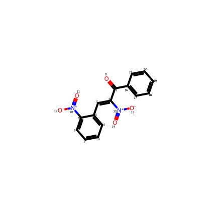 O=C(C(=Cc1ccccc1[N+](=O)[O-])[N+](=O)[O-])c1ccccc1